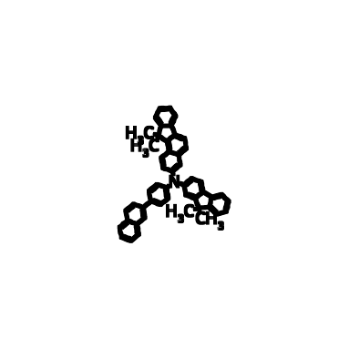 CC1(C)c2ccccc2-c2ccc(N(c3ccc(-c4ccc5ccccc5c4)cc3)c3ccc4c5c(ccc4c3)-c3ccccc3C5(C)C)cc21